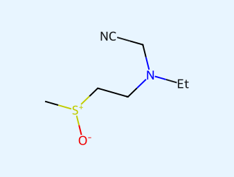 [CH2]CN(CC#N)CC[S+](C)[O-]